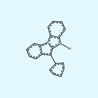 CC(=O)n1c2ccccc2n2c3ccccc3c(-c3ccccc3)c12